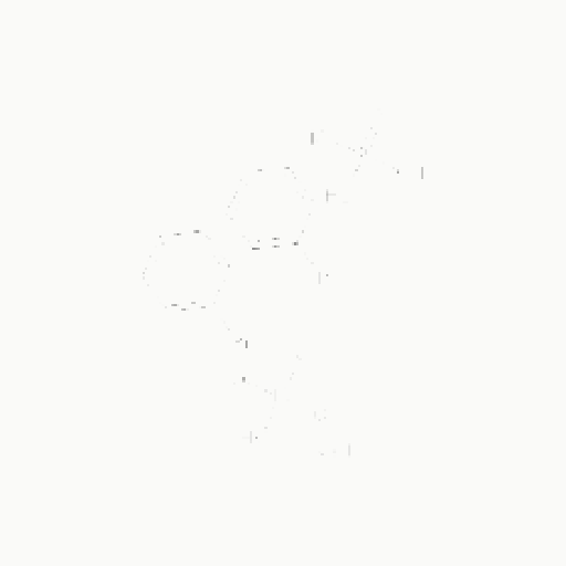 Brc1ccccc1.Brc1ccccc1.OP(O)(O)=S.OP(O)(O)=S.[NaH]